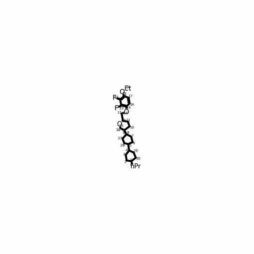 CCCC1CCC(C2CCC(C3CCC(COc4ccc(OCC)c(F)c4F)OC3)CC2)CC1